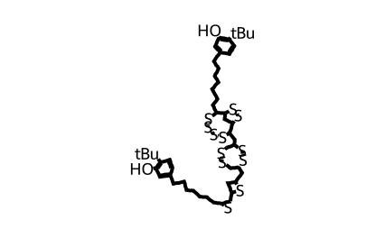 CC(C)(C)c1ccc(CCCCCCCC2SSSSC(CC3CSSCC(CC4CC(C5SC5CCCCCCCc5ccc(C(C)(C)C)c(O)c5)S4)SS3)C3CC2SS3)cc1O